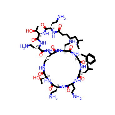 CCC(C)CCCCC(=O)N[C@@H](CCN)C(=O)N[C@H](C(=O)N[C@@H](CCN)C(=O)NC1CCNC(=O)[C@H](C(C)O)NC(=O)[C@H](CCN)NC(=O)C(CCN)NC(=O)[C@H](CC(C)C)NC(=O)[C@@H](Cc2ccccc2)NC(=O)[C@H](CCN)NC1=O)C(C)O